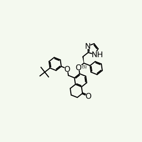 CC(C)(C)c1cccc(OCc2c(O[C@@H](Cc3ncc[nH]3)c3ccccc3)ccc3c2CCCC3=O)c1